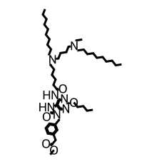 CCCCCCCCCCN(CC)CCCCN(CCCCCCCCCC)CCCCCC(=O)Nc1nc(OCCCC)nc2c1[nH]c(=O)n2Cc1cccc(CC(=O)OC)c1